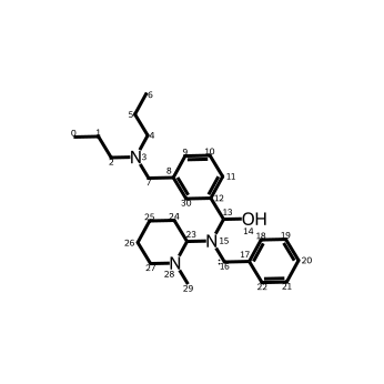 CCCN(CCC)Cc1cccc(C(O)N([C]c2ccccc2)C2CCCCN2C)c1